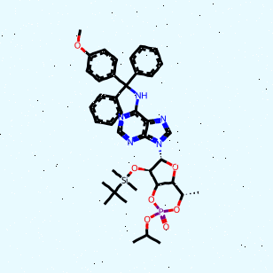 COc1ccc(C(Nc2ncnc3c2ncn3[C@@H]2OC3C(OP(=O)(OC(C)C)O[C@H]3C)[C@H]2O[Si](C)(C)C(C)(C)C)(c2ccccc2)c2ccccc2)cc1